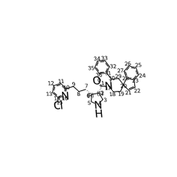 O=C([C@@H]1CNC[C@@H]1CCCc1cccc(Cl)n1)N1CCC2(C=Cc3ccccc32)CC1c1ccccc1